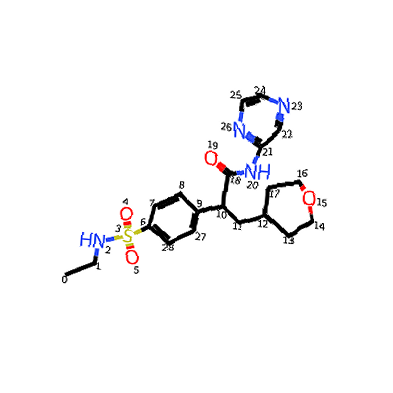 CCNS(=O)(=O)c1ccc(C(CC2CCOCC2)C(=O)Nc2cnccn2)cc1